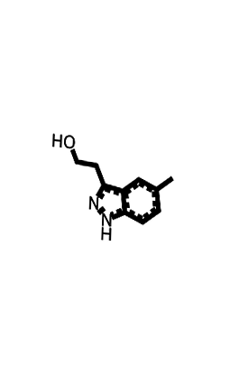 Cc1ccc2[nH]nc(CCO)c2c1